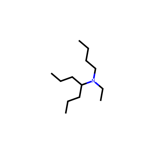 CCCCN(CC)C(CCC)CCC